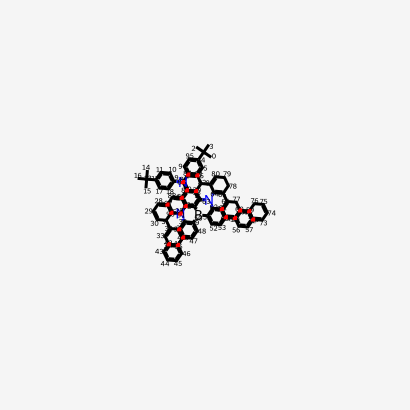 CC(C)(C)c1ccc(N(c2ccc(C(C)(C)C)cc2)c2cc3c4c(c2)N(C2C=CC=CC2C2=CCCC=C2)c2cc(-c5ccccc5)ccc2B4c2ccc(-c4ccccc4)cc2N3C2=C(C3=CC=CC(C4C=CC=CC4)C3)CCC=C2C2C=CC=C(C3=CC=CCC3)C2)cc1